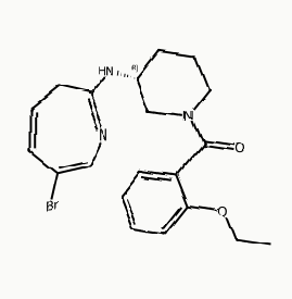 CCOc1ccccc1C(=O)N1CCC[C@@H](NC2=NC=C(Br)C=CC2)C1